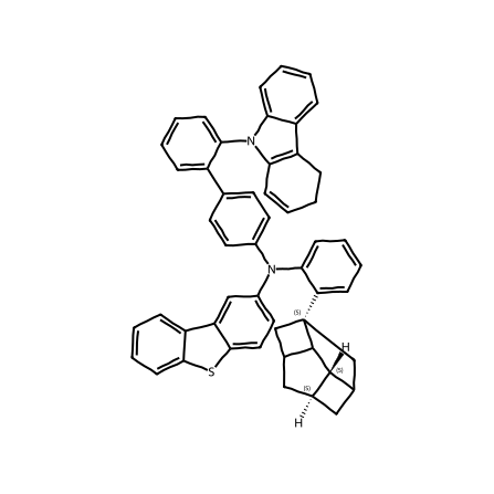 C1=Cc2c(c3ccccc3n2-c2ccccc2-c2ccc(N(c3ccc4sc5ccccc5c4c3)c3ccccc3[C@]34CC5C[C@@H]6CC(C3)[C@H]6C54)cc2)CC1